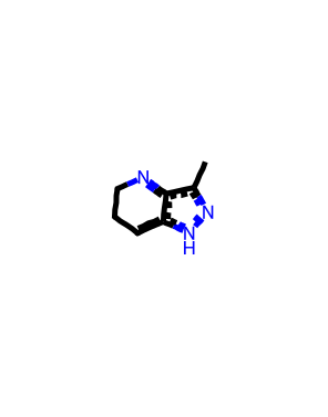 Cc1n[nH]c2c1=NCCC=2